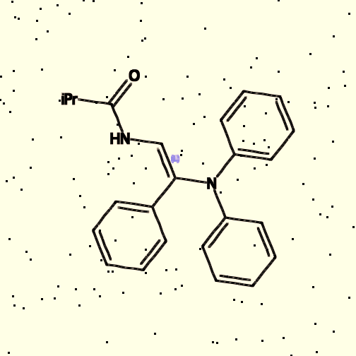 CC(C)C(=O)N/C=C(\c1ccccc1)N(c1ccccc1)c1ccccc1